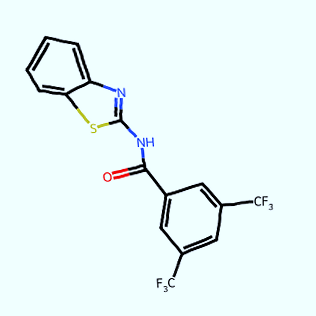 O=C(Nc1nc2ccccc2s1)c1cc(C(F)(F)F)cc(C(F)(F)F)c1